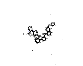 C=CC(=C/C)/C=c1/ncnc(Nc2cccc(-c3cccc(Nc4nccc5cc(CN6CCCC6)cnc45)c3C)c2C)c1=C